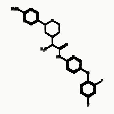 COc1ccc(C2CN(C(C)C(=O)Nc3ccc(Oc4ccc(F)cc4F)cn3)CCO2)cn1